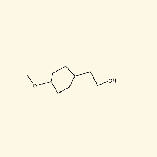 COC1CCC(CCO)CC1